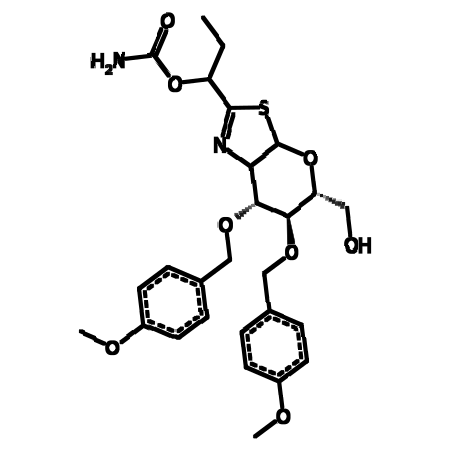 CCC(OC(N)=O)C1=NC2C(O[C@H](CO)[C@@H](OCc3ccc(OC)cc3)[C@@H]2OCc2ccc(OC)cc2)S1